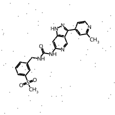 Cc1cc(-c2n[nH]c3cc(NC(=O)NCc4cccc(S(C)(=O)=O)c4)ncc23)ccn1